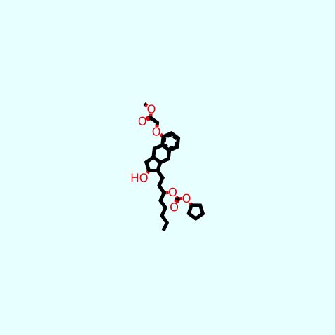 CCCCCC(CCC1C(O)CC2Cc3c(cccc3OCC(=O)OC)CC21)OC(=O)OC1CCCC1